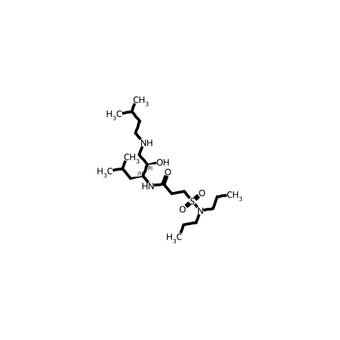 CCCN(CCC)S(=O)(=O)CCC(=O)N[C@@H](CC(C)C)[C@H](O)CNCCC(C)C